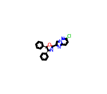 Clc1ccc2nc(C3=N[C@H](c4ccccc4)[C@@H](c4ccccc4)O3)cn2n1